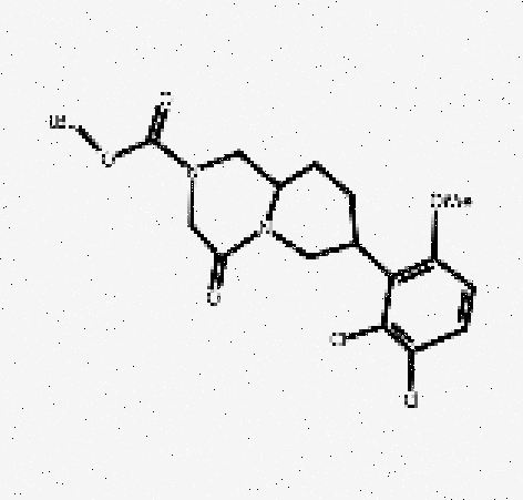 COc1ccc(Cl)c(Cl)c1C1CCC2CN(C(=O)OC(C)(C)C)CC(=O)N2C1